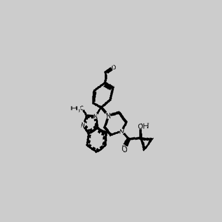 Cc1nc2ccccc2n1C1(N2CCN(C(=O)C3(O)CC3)CC2)C=CC(C=O)=CC1